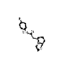 O=C(Cc1cccc2nccn12)Nc1ccc(F)cc1